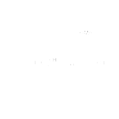 COc1ccc(C2(c3ccc(O)cc3)C=Cc3c4c(c5ccccc5c3O2)-c2ccc(-c3ccccc3)cc2C4(C)C)cc1